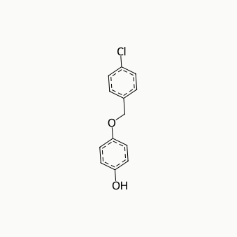 Oc1ccc(OCc2ccc(Cl)cc2)cc1